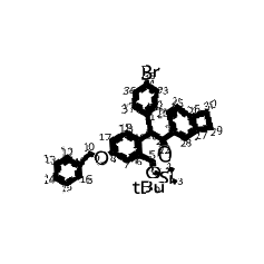 CC(C)(C)[Si](C)(C)OCc1cc(OCc2ccccc2)ccc1C(C(=O)c1ccc2c(c1)CC2)c1ccc(Br)cc1